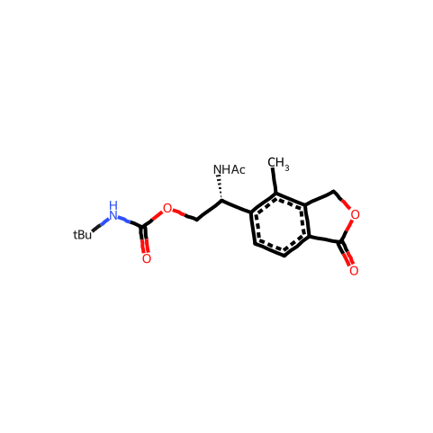 CC(=O)N[C@@H](COC(=O)NC(C)(C)C)c1ccc2c(c1C)COC2=O